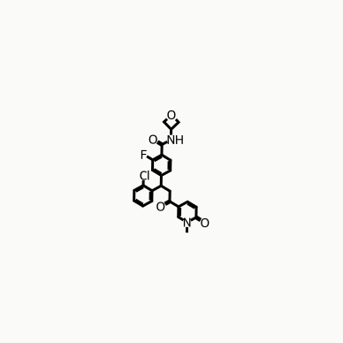 Cn1cc(C(=O)CC(c2ccc(C(=O)NC3COC3)c(F)c2)c2ccccc2Cl)ccc1=O